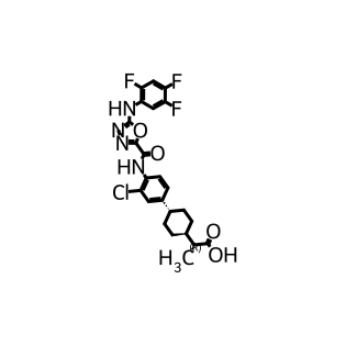 C[C@@H](C(=O)O)[C@H]1CC[C@H](c2ccc(NC(=O)c3nnc(Nc4cc(F)c(F)cc4F)o3)c(Cl)c2)CC1